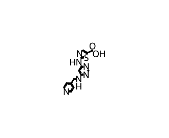 O=C(O)c1cnc(Nc2cc(NCc3ccncc3)ncn2)s1